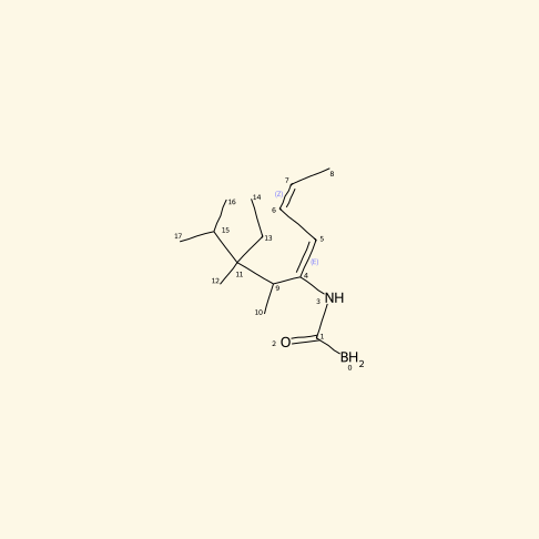 BC(=O)N/C(=C/C=C\C)C(C)C(C)(CC)C(C)C